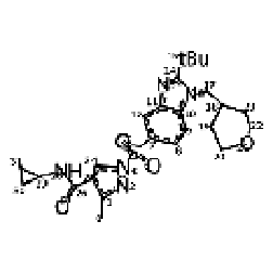 Cc1nn(S(=O)(=O)c2ccc3c(c2)nc(C(C)(C)C)n3CC2CCOCC2)cc1C(=O)NC1CC1